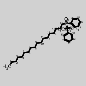 CCCCCCCCCCCCCCCCCCP(=O)(c1ccccc1)C(C)(C)c1ccccc1